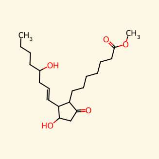 CCCCC(O)CC=CC1C(O)CC(=O)C1CCCCCCC(=O)OC